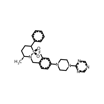 C[C@H]1CCC(c2ccccc2)S(=O)(=O)N1Cc1ccc(N2CCN(c3ncncn3)CC2)cc1F